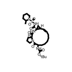 CC1CCCCN1S(=O)(=O)NC(=O)[C@@]12C[C@H]1/C=C\CCCCCC(NC(=O)OC(C)(C)C)C(=O)N1CCC[C@H]1C(=O)N2